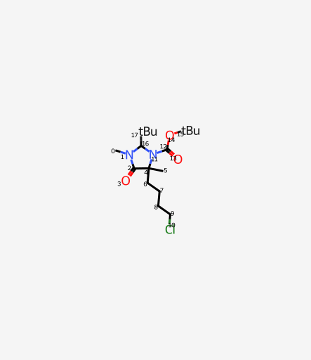 CN1C(=O)C(C)(CCCCCl)N(C(=O)OC(C)(C)C)C1C(C)(C)C